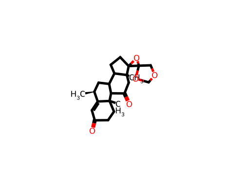 C[C@H]1CC2C(C(=O)CC3(C)C2CCC32OC23COCO3)C2(C)CCC(=O)C=C12